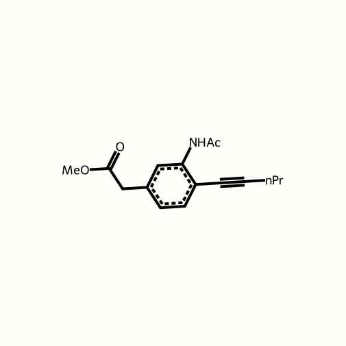 CCCC#Cc1ccc(CC(=O)OC)cc1NC(C)=O